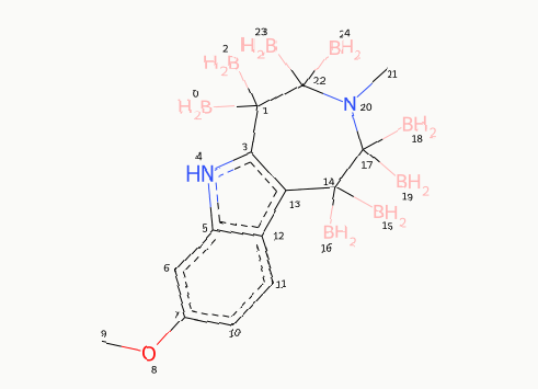 BC1(B)c2[nH]c3cc(OC)ccc3c2C(B)(B)C(B)(B)N(C)C1(B)B